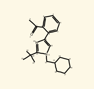 CC(=O)c1ccccc1-c1cn(CC2CCCCC2)c(C(C)(C)C)n1